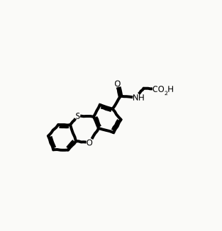 O=C(O)CNC(=O)c1ccc2c(c1)Sc1ccccc1O2